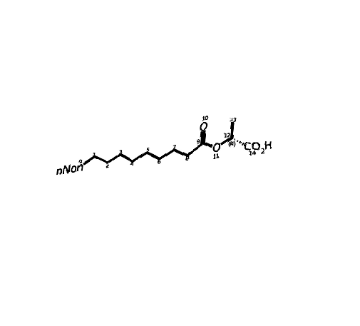 CCCCCCCCCCCCCCCCCC(=O)O[C@H](C)C(=O)O